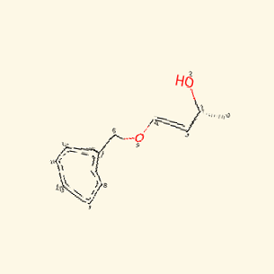 C[C@@H](O)C=COCc1ccccc1